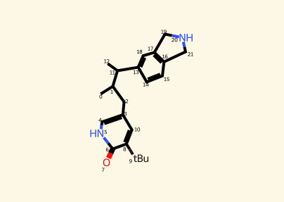 CC(Cc1c[nH]c(=O)c(C(C)(C)C)c1)C(C)c1ccc2c(c1)CNC2